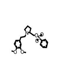 COc1ccc(CCN2CCCC2COS(=O)(=O)c2ccccc2)cc1OC